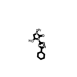 CCCN1CC(O)N(c2nnc(C3CCCCC3)s2)C1=O